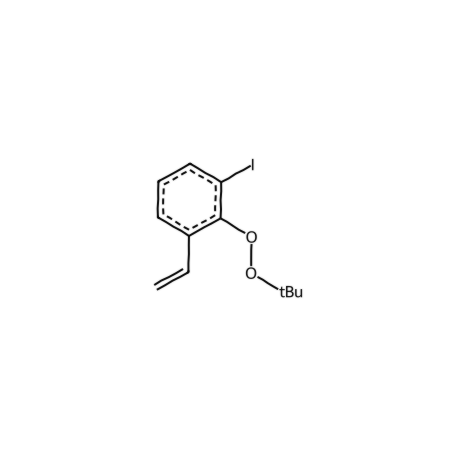 C=Cc1cccc(I)c1OOC(C)(C)C